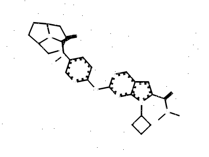 CN(C)C(=O)c1cc2cnc(Nc3ccc(N4CC5CCC(CC4=O)N5C(=O)OC(C)(C)C)cn3)nc2n1C1CCC1